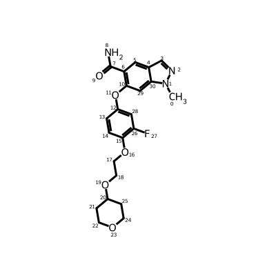 Cn1ncc2cc(C(N)=O)c(Oc3ccc(OCCOC4CCOCC4)c(F)c3)cc21